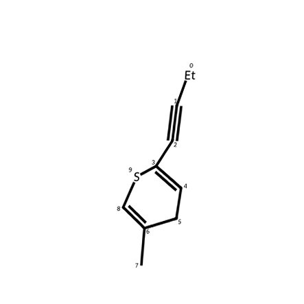 CCC#CC1=CCC(C)=CS1